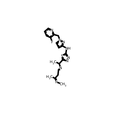 C/N=C(/C)C/C=N/C(C)c1nnc(Nc2ccn(Cc3ncccc3F)n2)s1